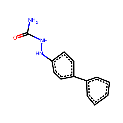 NC(=O)NNc1ccc(-c2ccccc2)cc1